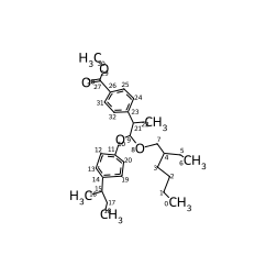 CCCCC(CC)COC(Oc1ccc(C(C)CC)cc1)C(C)c1ccc(C(=O)OC)cc1